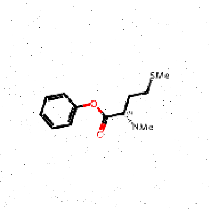 CN[C@@H](CCSC)C(=O)Oc1ccccc1